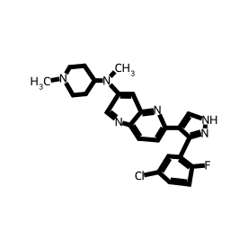 CN1CCC(N(C)c2cnc3ccc(-c4c[nH]nc4-c4cc(Cl)ccc4F)nc3c2)CC1